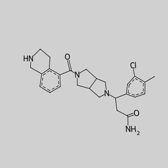 Cc1ccc(C(CC(N)=O)N2CC3CN(C(=O)c4cccc5c4CCNC5)CC3C2)cc1Cl